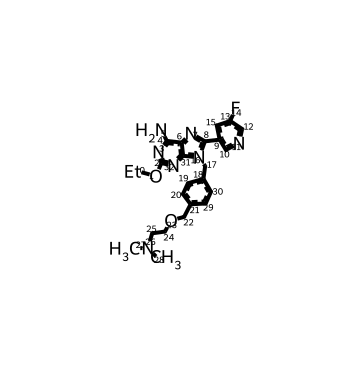 CCOc1nc(N)c2nc(-c3cncc(F)c3)n(Cc3ccc(COCCN(C)C)cc3)c2n1